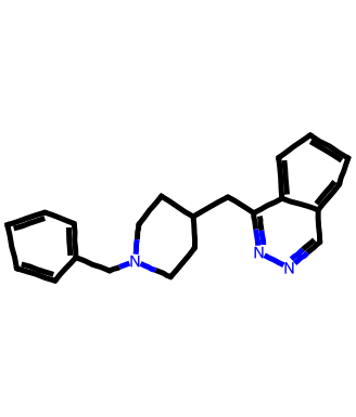 c1ccc(CN2CCC(Cc3nncc4ccccc34)CC2)cc1